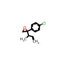 C=CC(C)C1(c2ccc(Cl)cc2)CO1